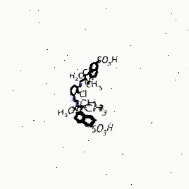 CN1/C(=C\C=C2\CCCC(/C=C/C3=[N+](C)c4ccc5cc(S(=O)(=O)O)ccc5c4C3(C)C)=C2Cl)C(C)(C)c2c1ccc1cc(S(=O)(=O)O)ccc21